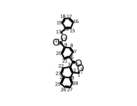 O=[C]c1c(C(=O)c2ccc(C(=O)OCc3ccccc3)cc2)ccc2ccccc12